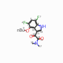 CCCCOc1c(F)cc(F)c2[nH]cc(C(=O)C(=O)N(C)C)c12